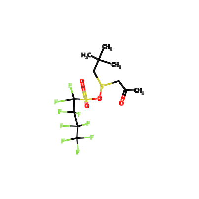 CC(=O)C[S+](CC(C)(C)C)OS(=O)(=O)C(F)(F)C(F)(F)C(F)(F)C(F)(F)F